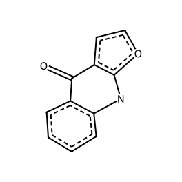 O=C1c2ccccc2[N]c2occc21